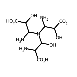 NC(C(=O)O)C(O)N(C(N)C(O)C(=O)O)C(N)C(O)C(=O)O